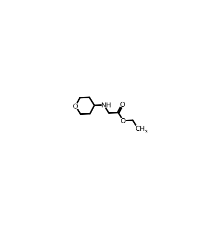 CCOC(=O)CNC1CCOCC1